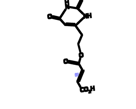 O=C(O)/C=C/C(=O)OCCc1cc(=O)[nH]c(=O)[nH]1